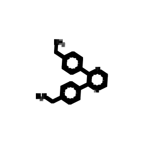 NCc1ccc(-c2nccnc2-c2ccc(CN)cc2)cc1